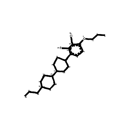 CCCOc1ccc(C2CCC(C3CCC(CCC)CC3)CC2)c(F)c1Cl